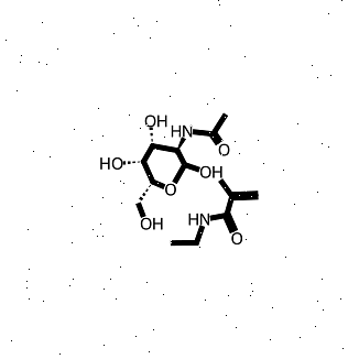 C=C(C)C(=O)NCC.CC(=O)N[C@H]1C(O)O[C@H](CO)[C@H](O)[C@@H]1O